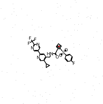 O=C(NCc1cc(-c2cnc(C(F)(F)F)nc2)ncc1C1CC1)C1C2CC(C2)N1S(=O)(=O)c1ccc(F)cc1